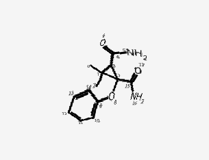 CC1(C)C(C(N)=O)C1(Oc1ccccc1)C(N)=O